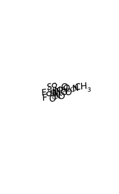 CN1CCC(OC(=O)Oc2c3n(ccc2=O)N([C@@H]2c4ccccc4SCc4c2ccc(F)c4F)[C@@H]2COCCN2C3=O)CC1